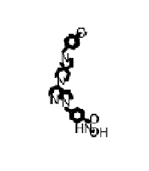 COc1ccc(CN2CCC3(CCN(c4ccnc5c4ccn5Cc4ccc(C(=O)NO)cc4)CC3)C2)cc1